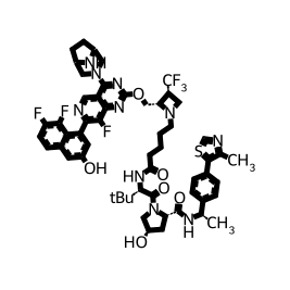 Cc1ncsc1-c1ccc([C@H](C)NC(=O)[C@@H]2C[C@@H](O)CN2C(=O)[C@@H](NC(=O)CCCCN2C[C@@H](C(F)(F)F)[C@H]2COc2nc(N3CC4CCC(C3)N4)c3cnc(-c4cc(O)cc5ccc(F)c(F)c45)c(F)c3n2)C(C)(C)C)cc1